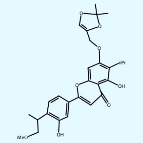 CCCc1c(OCC2=COC(C)(C)O2)cc2oc(-c3ccc(C(C)COC)c(O)c3)cc(=O)c2c1O